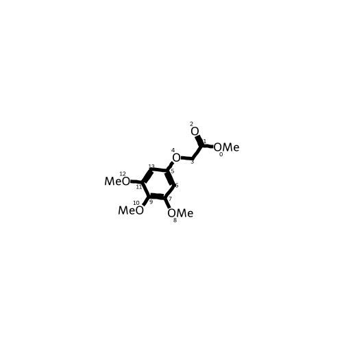 COC(=O)COc1cc(OC)c(OC)c(OC)c1